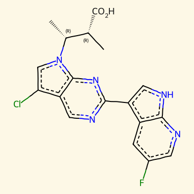 C[C@H]([C@@H](C)C(=O)O)n1cc(Cl)c2cnc(-c3c[nH]c4ncc(F)cc34)nc21